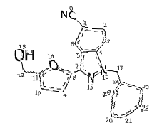 N#Cc1ccc2c(c1)c(-c1ccc(CO)o1)nn2Cc1ccccc1